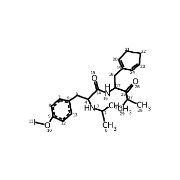 CC(C)NC(Cc1ccc(OI)cc1)C(=O)NC(CC1=CCCC=C1)C(=O)C(C)C